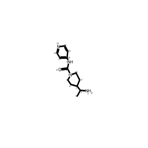 CC(N)C1CCN(C(=O)Nc2ccncc2)CC1